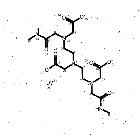 CNC(=O)CN(CCN(CCN(CC(=O)[O-])CC(=O)NC)CC(=O)[O-])CC(=O)[O-].[Dy+3]